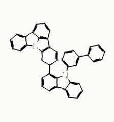 C1=CC(c2cccc3c4ccccc4n(-c4cccc(-c5ccccc5)c4)c23)Cc2c1c1cccc3c4ccccc4n2c13